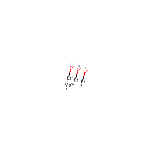 CC[O-].CC[O-].CC[O-].[Mo+3]